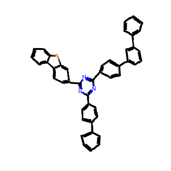 c1ccc(-c2ccc(-c3nc(-c4ccc(-c5cccc(-c6ccccc6)c5)cc4)nc(-c4ccc5c(c4)sc4ccccc45)n3)cc2)cc1